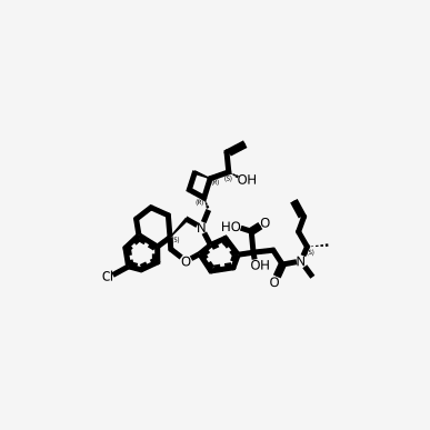 C=CC[C@H](C)N(C)C(=O)CC(O)(C(=O)O)c1ccc2c(c1)N(C[C@@H]1CC[C@H]1[C@@H](O)C=C)C[C@@]1(CCCc3cc(Cl)ccc31)CO2